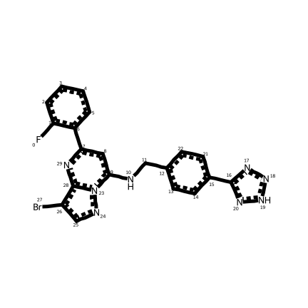 Fc1ccccc1-c1cc(NCc2ccc(-c3nn[nH]n3)cc2)n2ncc(Br)c2n1